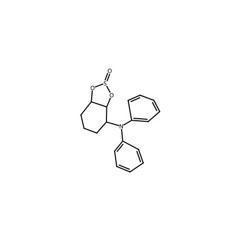 O=S1OC2CCCC(N(c3ccccc3)c3ccccc3)C2O1